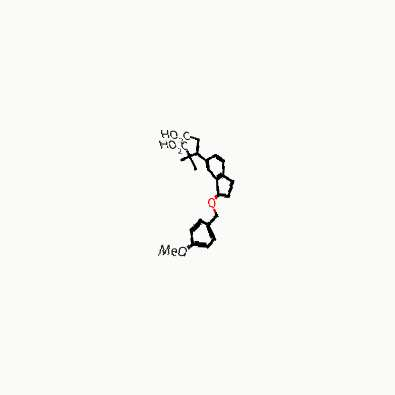 COc1ccc(COC2CCc3ccc(C(CC(=O)O)C(C)(C)C(=O)O)cc32)cc1